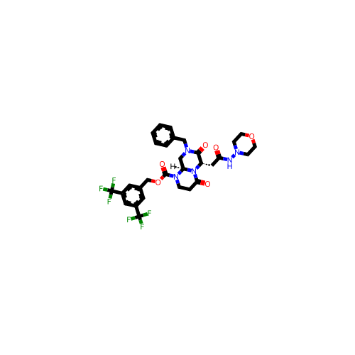 O=C(C[C@H]1C(=O)N(Cc2ccccc2)C[C@@H]2N(C(=O)OCc3cc(C(F)(F)F)cc(C(F)(F)F)c3)CCC(=O)N21)NN1CCOCC1